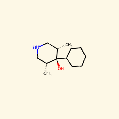 C[C@@H]1CNC[C@H](C)[C@]1(O)C1CCCCC1